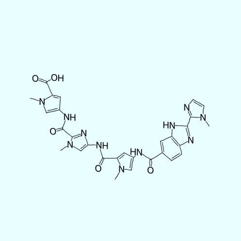 Cn1cc(NC(=O)c2nc(NC(=O)c3cc(NC(=O)c4ccc5nc(-c6nccn6C)[nH]c5c4)cn3C)cn2C)cc1C(=O)O